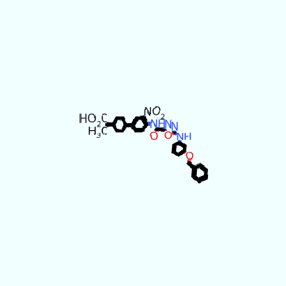 CC(C(=O)O)C1CCC(c2ccc(NC(=O)c3nnc(Nc4cccc(OCc5ccccc5)c4)o3)c([N+](=O)[O-])c2)CC1